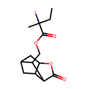 CCC(C)(I)C(=O)OCC1C2CC3OC(=O)C1C3C2